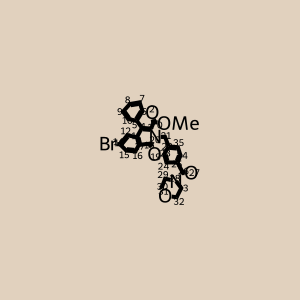 COC(=O)c1c(-c2ccccc2)c2cc(Br)ccc2c(=O)n1Cc1ccc(C(=O)N2CCOCC2)cc1